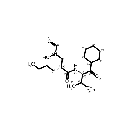 CCCC[C@H](CN(O)C=O)C(=O)N[C@H](C(=O)C1CCCCC1)C(C)C